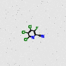 N#Cc1nc(Cl)c(Cl)c(Cl)c1F